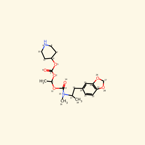 CC(OC(=O)OC1CCNCC1)OC(=O)N(C)C(C)Cc1ccc2c(c1)OCO2